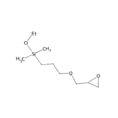 CCO[Si](C)(C)CCCOCC1CO1